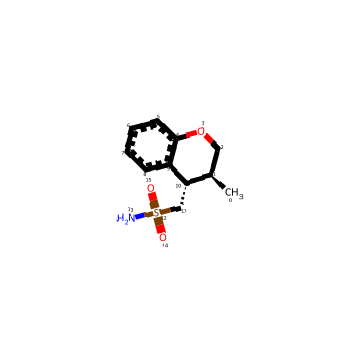 C[C@@H]1COc2ccccc2[C@H]1CS(N)(=O)=O